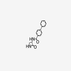 O=C(N[C@@H]1CNC1=O)c1ccc(-c2ccccc2)cc1